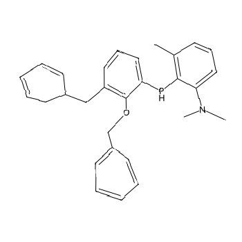 Cc1cccc(N(C)C)c1Pc1cccc(CC2C=CC=CC2)c1OCc1ccccc1